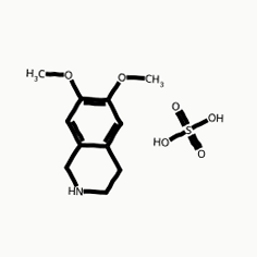 COc1cc2c(cc1OC)CNCC2.O=S(=O)(O)O